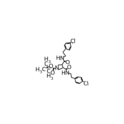 CC(C)(C)OC(=O)N1CC(C(=O)NCCc2ccc(Cl)cc2)C(C(=O)NCCc2ccc(Cl)cc2)C1